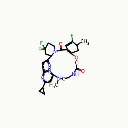 CC1CC2=C(C=C1F)C(=O)N1CCC(F)(F)CC1c1cc3nc(C4CC4)cc(n3n1)N(C)CCNC(=O)CO2